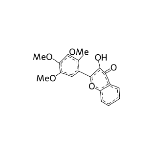 COc1cc(OC)c(-c2oc3ccccc3c(=O)c2O)cc1OC